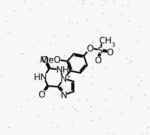 COc1cc(OS(C)(=O)=O)ccc1[N+]12C=CN=C1C(=O)NC(=O)N2